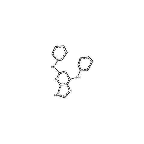 c1ccc(Nc2nc(Nc3ccccc3)c3nc[nH]c3n2)cc1